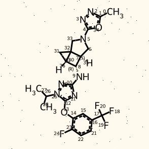 Cc1nnc(N2C[C@H]3[C@H](Nc4nc(Oc5cc(C(F)(F)F)ccc5F)n(C(C)C)n4)[C@@H]4CC34C2)o1